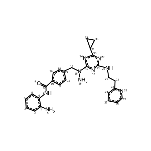 Nc1ccccc1NC(=O)c1ccc(CN(N)c2nc(NCCc3ccccn3)nc(C3CC3)n2)cc1